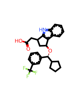 O=C(O)CC1CC(O[C@@H](c2cccc(C(F)(F)F)c2)C2CCCC2)c2c1[nH]c1ccccc21